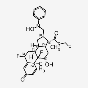 C[C@]12C[C@H](O)[C@@]3(F)[C@@H](C[C@H](F)C4=CC(=O)C=C[C@@]43C)[C@@H]1C[C@@H](CN(O)c1ccccc1)[C@@H]2C(=O)SCF